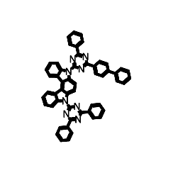 c1ccc(-c2ccc(-c3nc(-c4ccccc4)nc(-n4c5ccccc5c5c6c7ccccc7n(-c7nc(-c8ccccc8)nc(-c8ccccc8)n7)c6ccc54)n3)cc2)cc1